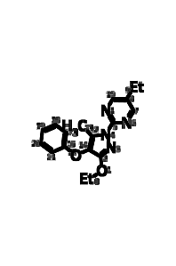 CCOc1nn(-c2ncc(CC)cn2)c(C)c1Oc1ccccc1